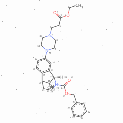 CCOC(=O)CCN1CCN(c2ccc3c(c2)[C@H]2[C@@H](C)C3CCN2C(=O)OCc2ccccc2)CC1